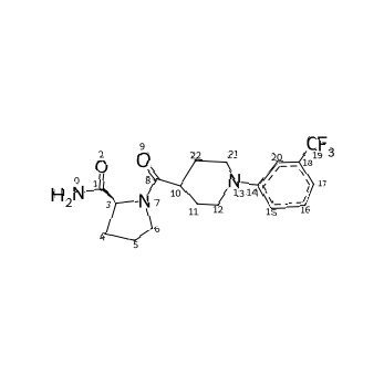 NC(=O)[C@@H]1CCCN1C(=O)C1CCN(c2cccc(C(F)(F)F)c2)CC1